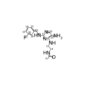 CC(=O)NCCNc1nc(NCc2cccc(F)c2)ncc1N